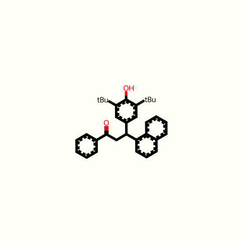 CC(C)(C)c1cc(C(CC(=O)c2ccccc2)c2cccc3ccccc23)cc(C(C)(C)C)c1O